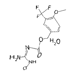 COc1ccc(COC(=O)N=C(N)NCl)cc1C(F)(F)F.O